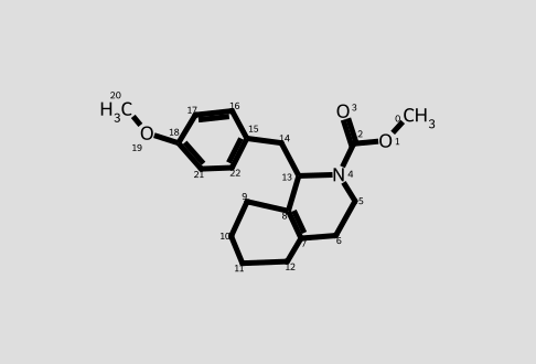 COC(=O)N1CCC2=C(CCCC2)C1Cc1ccc(OC)cc1